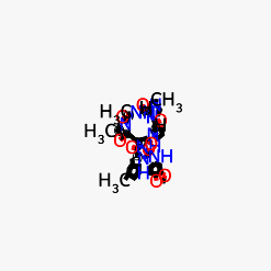 Cc1cccc(C[C@H](NC(=O)Nc2ccc3c(c2)OCO3)C(=O)N[C@H]2CC3C(=O)[C@]34C[C@@H](C)CN4C(=O)[C@H](C)NC(=O)[C@@H]3CN(C)CCN3C(=O)[C@@H]3CCCN3C2=O)c1